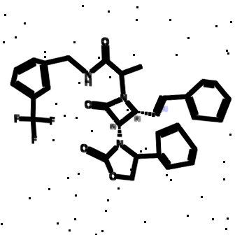 CC(C(=O)NCc1cccc(C(F)(F)F)c1)N1C(=O)[C@@H](N2C(=O)OCC2c2ccccc2)[C@H]1/C=C/c1ccccc1